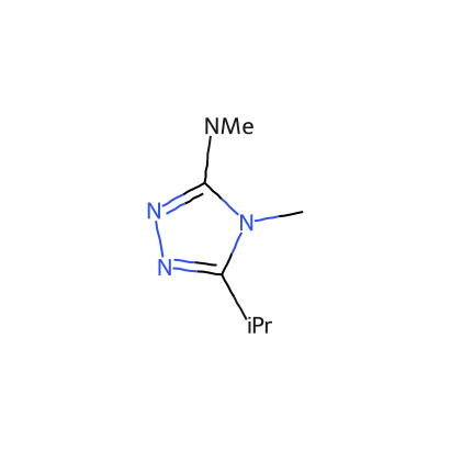 CNc1nnc(C(C)C)n1C